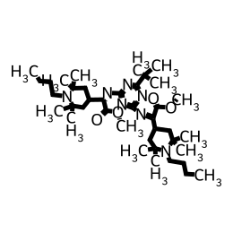 CCCCN1C(C)(C)CC(/C(=N/c2nc(/N=C(\C(=O)OC)C3CC(C)(C)N(CCCC)C(C)(C)C3)nc(C(C)(C)C)n2)C(=O)OC)CC1(C)C